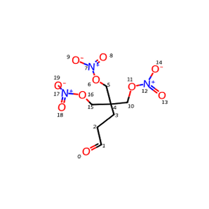 O=CCCC(CO[N+](=O)[O-])(CO[N+](=O)[O-])CO[N+](=O)[O-]